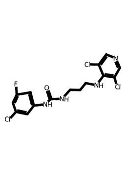 O=C(NCCCNc1c(Cl)cncc1Cl)Nc1cc(F)cc(Cl)c1